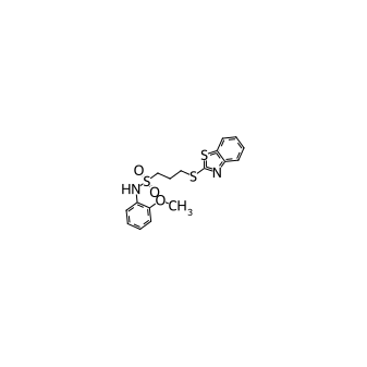 COc1ccccc1NS(=O)(=O)CCCSc1nc2ccccc2s1